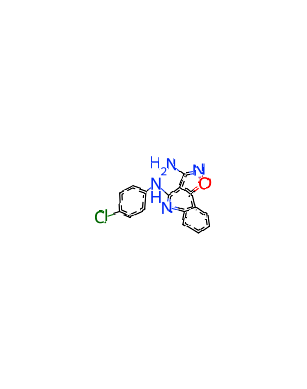 Nc1noc2c1c(Nc1ccc(Cl)cc1)nc1ccccc12